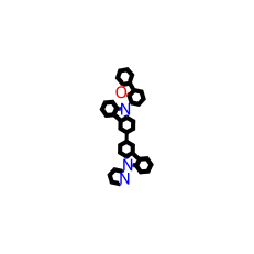 c1ccc(-n2c3ccccc3c3cc(-c4ccc5c(c4)c4ccccc4n5-c4cccc5c4oc4ccccc45)ccc32)nc1